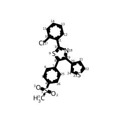 CS(=O)(=O)c1ccc(-c2sc(-c3ccccc3Cl)nc2-c2ccsc2)cc1